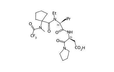 CCN(C(=O)C1(N(C)C(=O)C(F)(F)F)CCCC1)[C@H](C(=O)N[C@@H](CC(=O)O)C(=O)N1CCCC1)C(C)C